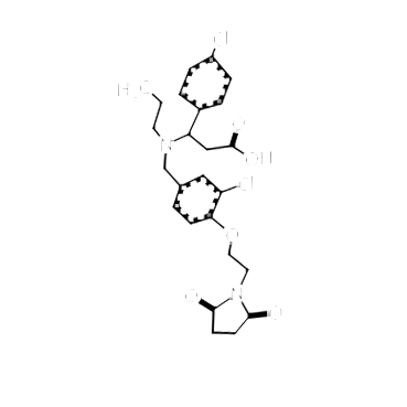 CCCN(Cc1ccc(OCCN2C(=O)CCC2=O)c(Cl)c1)C(CC(=O)O)c1ccc(Cl)cc1